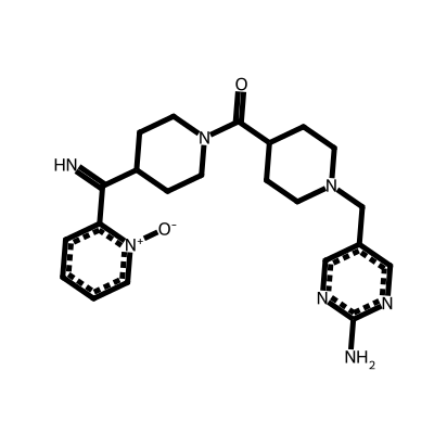 N=C(c1cccc[n+]1[O-])C1CCN(C(=O)C2CCN(Cc3cnc(N)nc3)CC2)CC1